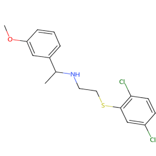 COc1cccc(C(C)NCCSc2cc(Cl)ccc2Cl)c1